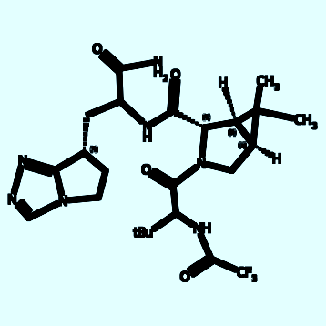 CC(C)(C)C(NC(=O)C(F)(F)F)C(=O)N1C[C@H]2[C@@H]([C@H]1C(=O)NC(C[C@@H]1CCn3cnnc31)C(N)=O)C2(C)C